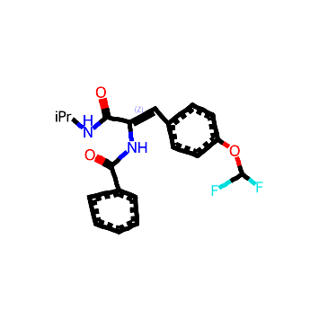 CC(C)NC(=O)/C(=C/c1ccc(OC(F)F)cc1)NC(=O)c1ccccc1